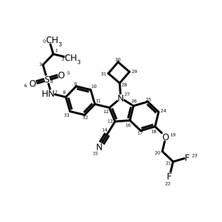 CC(C)CS(=O)(=O)Nc1ccc(-c2c(C#N)c3cc(OCC(F)F)ccc3n2C2CCC2)cc1